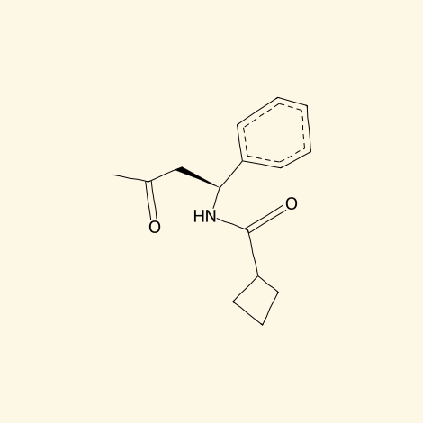 CC(=O)C[C@H](NC(=O)C1CCC1)c1ccccc1